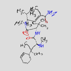 CN[C@H](C(=O)N[C@H](C(=O)N(C)C(C=C(C)C(N)=O)C(C)C)C(C)(C)C)C(C)(C)c1ccccc1